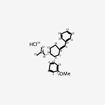 COc1cccc([C@H]2C/C(=C/c3ccccc3)CC[C@H]2CN(C)C)c1.Cl